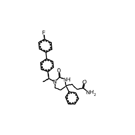 CC(c1ccc(-c2ccc(F)cc2)cc1)N1CCC(CCC(N)=O)(c2ccccc2)NC1=O